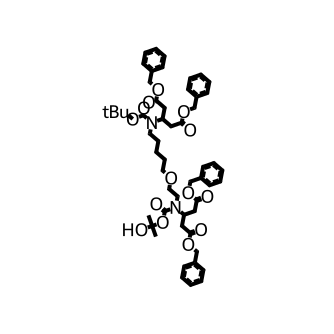 CC(C)(C)OC(=O)N(CCCCCOCCN(C(=O)OC(C)(C)O)C(CC(=O)OCc1ccccc1)CC(=O)OCc1ccccc1)C(CC(=O)OCc1ccccc1)CC(=O)OCc1ccccc1